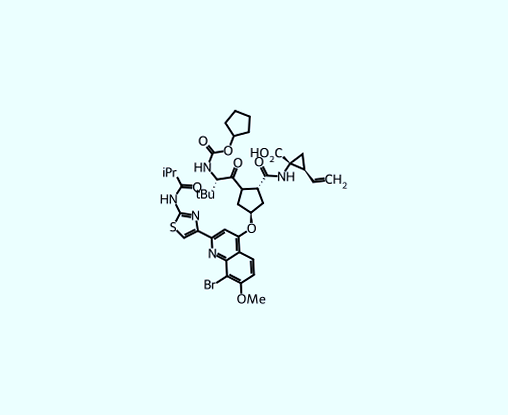 C=C[C@@H]1C[C@]1(NC(=O)[C@@H]1C[C@@H](Oc2cc(-c3csc(NC(=O)C(C)C)n3)nc3c(Br)c(OC)ccc23)CC1C(=O)[C@@H](NC(=O)OC1CCCC1)C(C)(C)C)C(=O)O